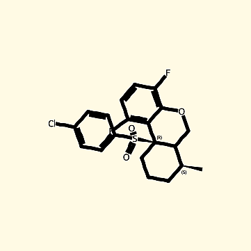 C[C@H]1CCC[C@]2(S(=O)(=O)c3ccc(Cl)cc3)c3c(F)ccc(F)c3OCC12